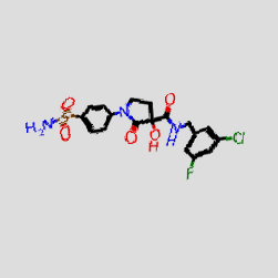 NS(=O)(=O)c1ccc(N2CCC(O)(C(=O)NCc3cc(F)cc(Cl)c3)C2=O)cc1